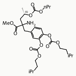 CCCOC(=O)O[C@@H](C)CC(N)(Cc1ccc(OC(=O)OCCC(C)C)c(OC(=O)OCCC(C)C)c1)C(=O)OC